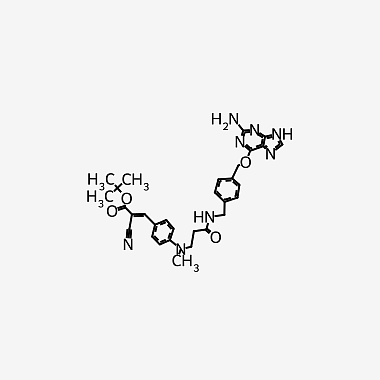 CN(CCC(=O)NCc1ccc(COc2nc(N)nc3[nH]cnc23)cc1)c1ccc(/C=C(\C#N)C(=O)OC(C)(C)C)cc1